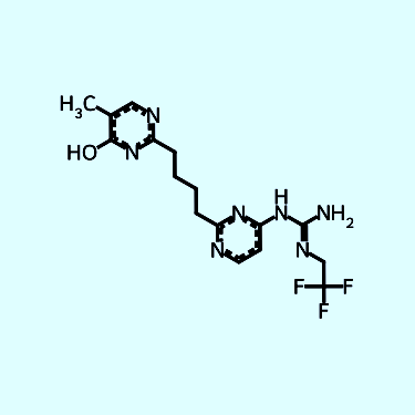 Cc1cnc(CCCCc2nccc(NC(N)=NCC(F)(F)F)n2)nc1O